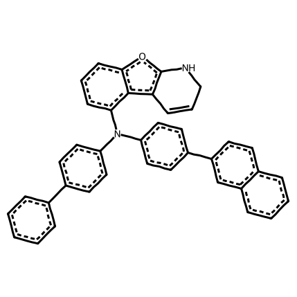 C1=Cc2c(oc3cccc(N(c4ccc(-c5ccccc5)cc4)c4ccc(-c5ccc6ccccc6c5)cc4)c23)NC1